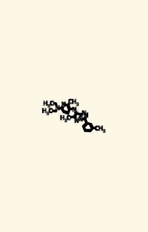 CCN(CC)c1ccc(/N=C2\C(C)=Nn3c2nnc3-c2cccc(C)c2)c(C)n1